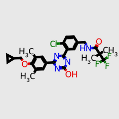 Cc1cc(-c2nc(O)nc(-c3cc(CNC(=O)C(C)(C)C(F)(F)F)ccc3Cl)n2)cc(C)c1OCC1CC1